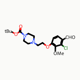 COc1c(OCCN2CCN(C(=O)OC(C)(C)C)CC2)ccc(C=O)c1Cl